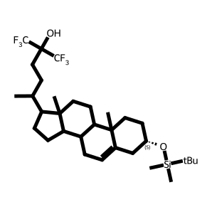 CC(CCC(O)(C(F)(F)F)C(F)(F)F)C1CCC2C3CC=C4C[C@@H](O[Si](C)(C)C(C)(C)C)CCC4(C)C3CCC12C